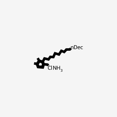 CCCCCCCCCCCCCCCCCCCCc1c(CCl)ccc(C)c1C.N